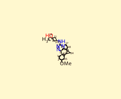 COc1ccc(-c2nnc(NC3CC(C)(O)C3)n3cccc23)c(C2CC2)c1